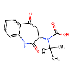 CC(C)(C)N(C(=O)O)[C@@H]1CC(=O)c2ccccc2NC1=O